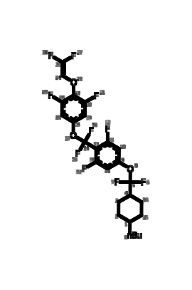 CCCCC1CCC(C(F)(F)Oc2cc(F)c(C(F)(F)Oc3cc(F)c(OC=C(F)F)c(F)c3)c(F)c2)CC1